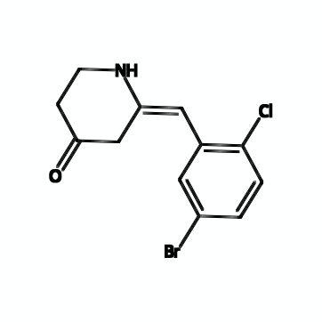 O=C1CCNC(=Cc2cc(Br)ccc2Cl)C1